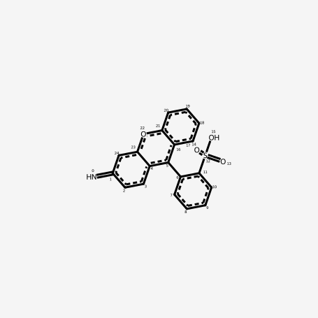 N=c1ccc2c(-c3ccccc3S(=O)(=O)O)c3ccccc3oc-2c1